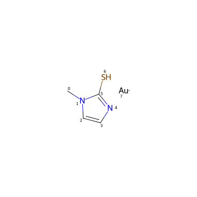 Cn1ccnc1S.[Au]